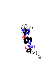 Cc1cccc(NC(=O)n2ccc3cc(Oc4ncnc5c4CN(CC(=O)O)C5)ccc32)c1